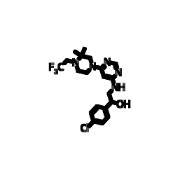 CC1(C)CN(c2cc(NCC(O)c3ccc(Cl)cc3)ncn2)CCN1CC(F)(F)F